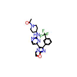 CC(=O)N1CCC(Nc2nccc(-c3c(-c4cccc(C(F)(F)F)c4)nc4occn34)n2)CC1